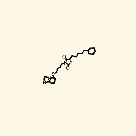 O=C1SC(=CCCCCc2ccccc2)C(=O)N1CCCCSc1cccc2nccn12